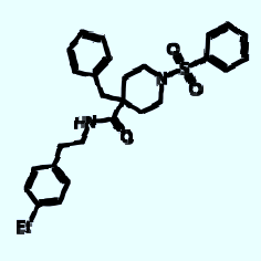 CCc1ccc(CCNC(=O)C2(Cc3ccccc3)CCN(S(=O)(=O)c3ccccc3)CC2)cc1